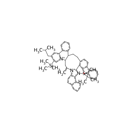 C=C1CC2C(CCc3ccc4c(sc5ccccc54)c3-c3n(C4=C(C)C4(C)C)c4c5ccccc5ccc4[n+]31)c1ccccc1-c1cc(CC(C)C)c([Si](C)(C)C)c[n+]12